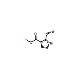 CCOC(=O)c1cc[nH]c1N=N